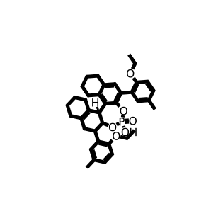 CCOc1ccc(C)cc1-c1cc2c(c3c1OP(=O)(O)OC1C(c4cc(C)ccc4OCC)CC4=C(CCCC4)[C@H]31)CCCC2